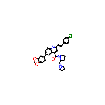 O=C(c1cc(/C=C/c2ccc(Cl)cc2)nc2ccc(-c3ccc4c(c3)OCO4)cc12)N1CCC[C@H]1CN1CCCC1